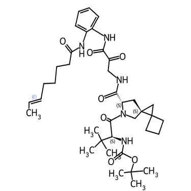 C/C=C/CCCCC(=O)Nc1ccccc1NC(=O)C(=O)CNC(=O)[C@@H]1C[C@@]2(CN1C(=O)[C@@H](NC(=O)OC(C)(C)C)C(C)(C)C)CC21CCC1